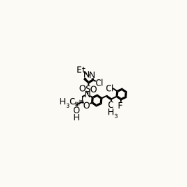 CCn1cc(S(=O)(=O)N2C[C@H]([C@@H](C)O)Oc3ccc(C=C(C)c4c(F)cccc4Cl)cc32)c(Cl)n1